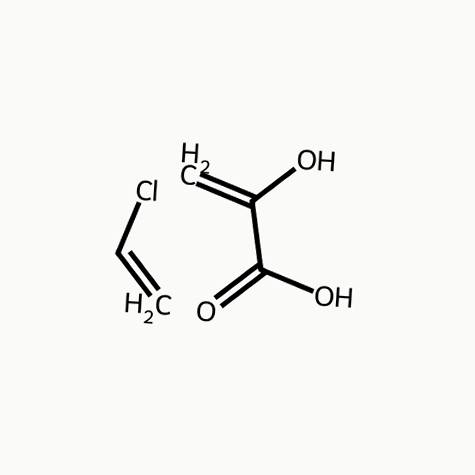 C=C(O)C(=O)O.C=CCl